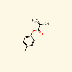 C=C(C#N)C(=O)Oc1ccc(I)cc1